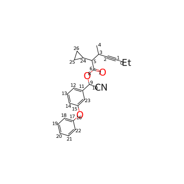 CCC#CC(C)C(C(=O)OC(C#N)c1cccc(Oc2ccccc2)c1)C1CC1